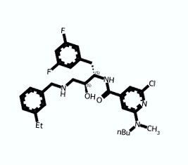 CCCCN(C)c1cc(C(=O)N[C@@H](Cc2cc(F)cc(F)c2)[C@@H](O)CNCc2cccc(CC)c2)cc(Cl)n1